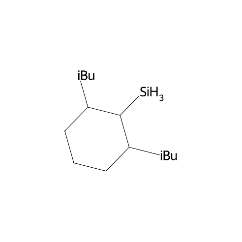 CCC(C)C1CCCC(C(C)CC)C1[SiH3]